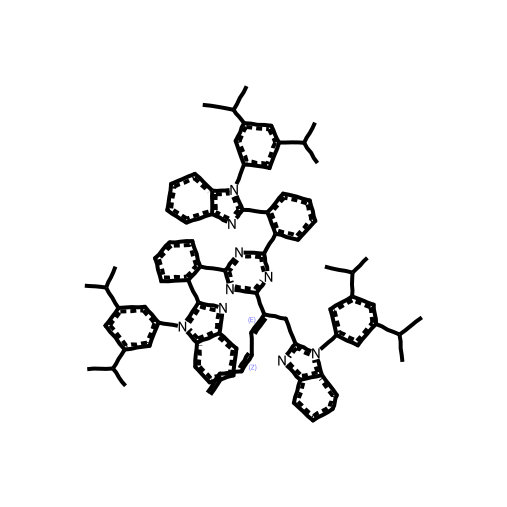 C=C/C=C\C=C(/Cc1nc2ccccc2n1-c1cc(C(C)C)cc(C(C)C)c1)c1nc(-c2ccccc2-c2nc3ccccc3n2-c2cc(C(C)C)cc(C(C)C)c2)nc(-c2ccccc2-c2nc3ccccc3n2-c2cc(C(C)C)cc(C(C)C)c2)n1